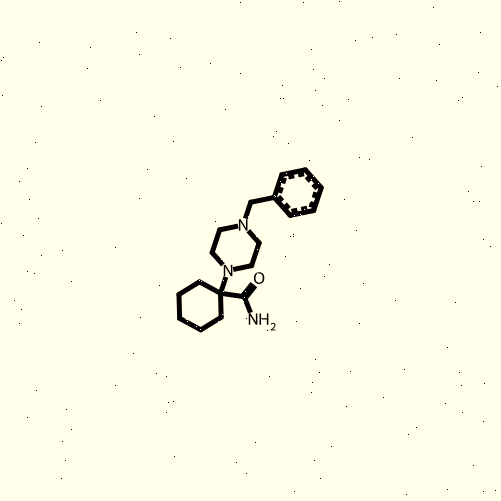 NC(=O)C1(N2CCN(Cc3ccccc3)CC2)CCCCC1